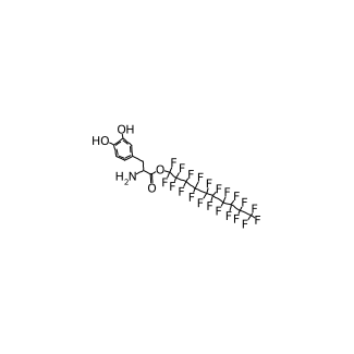 NC(Cc1ccc(O)c(O)c1)C(=O)OC(F)(F)C(F)(F)C(F)(F)C(F)(F)C(F)(F)C(F)(F)C(F)(F)C(F)(F)C(F)(F)C(F)(F)F